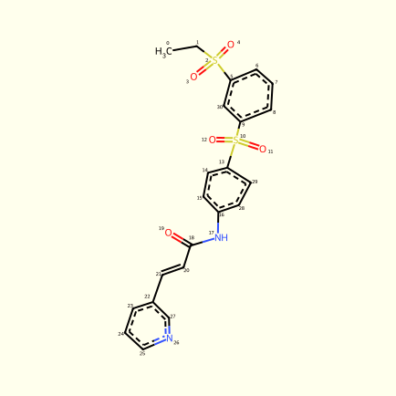 CCS(=O)(=O)c1cccc(S(=O)(=O)c2ccc(NC(=O)/C=C/c3cccnc3)cc2)c1